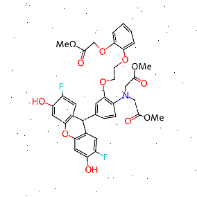 COC(=O)COc1ccccc1OCCOc1cc(C2c3cc(F)c(O)cc3Oc3cc(O)c(F)cc32)ccc1N(CC(=O)OC)CC(=O)OC